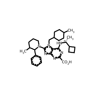 CC1CCC(Cn2c(N3CCCC(C)C3c3ccccc3)nc3nc(C(=O)O)nc(N[C@H](C)C4CCC4)c32)CC1